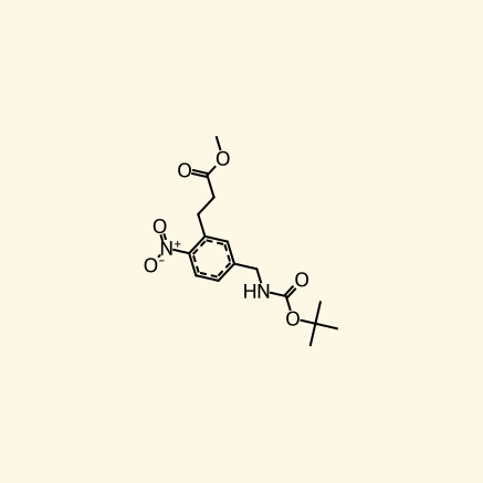 COC(=O)CCc1cc(CNC(=O)OC(C)(C)C)ccc1[N+](=O)[O-]